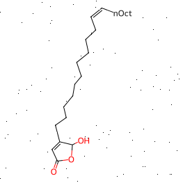 CCCCCCCC/C=C\CCCCCCCCCCC1=CC(=O)OC1O